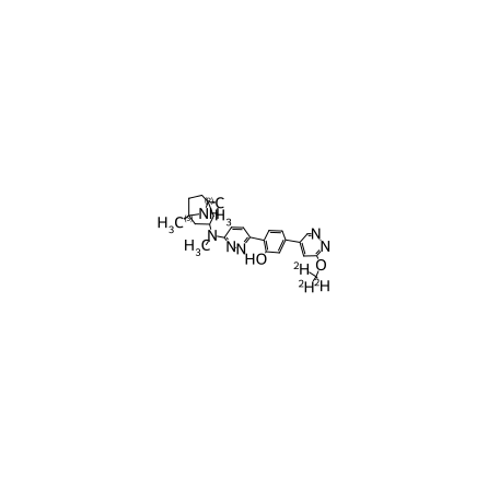 [2H]C([2H])([2H])Oc1cc(-c2ccc(-c3ccc(N(C)C4C[C@]5(C)CC[C@](C)(C4)N5)nn3)c(O)c2)cnn1